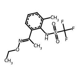 CCO/N=C(\C)c1cccc(C)c1NS(=O)(=O)C(F)(F)F